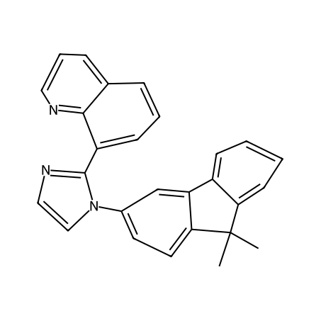 CC1(C)c2ccccc2-c2cc(-n3ccnc3-c3cccc4cccnc34)ccc21